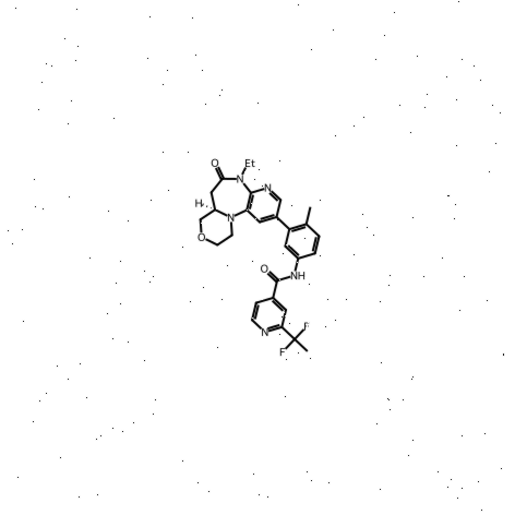 CCN1C(=O)C[C@@H]2COCCN2c2cc(-c3cc(NC(=O)c4ccnc(C(C)(F)F)c4)ccc3C)cnc21